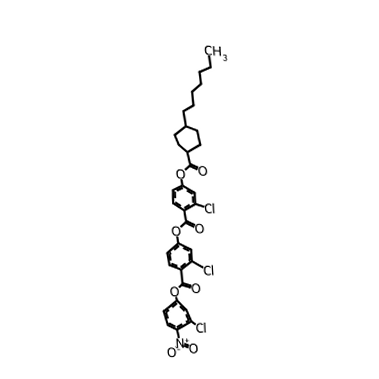 CCCCCCCC1CCC(C(=O)Oc2ccc(C(=O)Oc3ccc(C(=O)Oc4ccc([N+](=O)[O-])c(Cl)c4)c(Cl)c3)c(Cl)c2)CC1